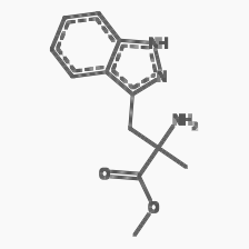 COC(=O)C(C)(N)Cc1n[nH]c2ccccc12